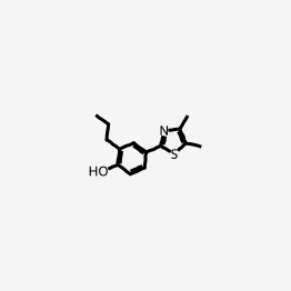 CCCc1cc(-c2nc(C)c(C)s2)ccc1O